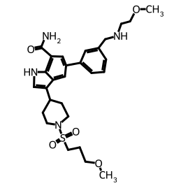 COCCCS(=O)(=O)N1CCC(c2c[nH]c3c(C(N)=O)cc(-c4cccc(CNCCOC)c4)cc23)CC1